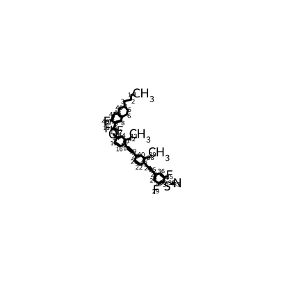 CCCCC1CCc2cc(C(F)(F)Oc3ccc(C#Cc4ccc(C#Cc5cc(F)c(SC#N)c(F)c5)c(CC)c4)c(CC)c3)c(F)cc2C1